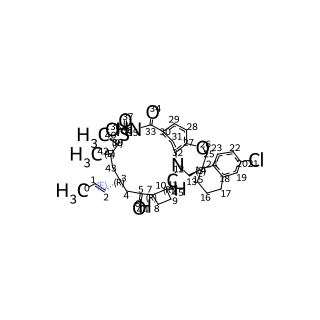 C/C=C/[C@H]1CC(=O)[C@@H]2CC[C@H]2CN2C[C@@]3(CCCc4cc(Cl)ccc43)COc3ccc(cc32)C(=O)NS(=O)(=O)[C@H](C)[C@@H](C)C1